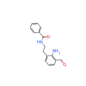 Nc1c(C=O)cccc1CCNC(=O)c1ccccc1